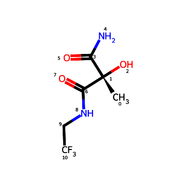 C[C@](O)(C(N)=O)C(=O)NCC(F)(F)F